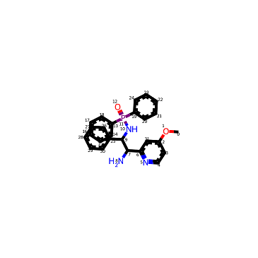 COc1ccnc(C(N)C(NP(=O)(c2ccccc2)c2ccccc2)c2ccccc2)c1